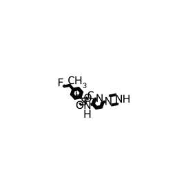 Cc1nc(N2CCNCC2)ccc1NS(=O)(=O)c1ccc([C@@H](C)CF)cc1